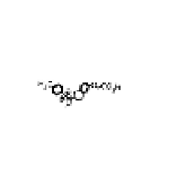 Cc1ccc(S(=O)(=O)NC2CCc3cc(OCC(=O)O)ccc3C2)cc1